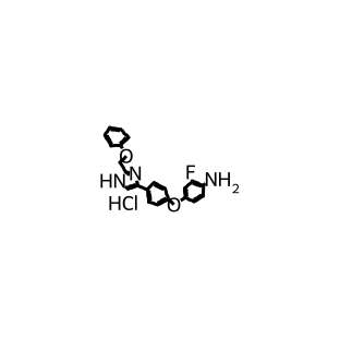 Cl.Nc1ccc(Oc2ccc(-c3c[nH]c(COc4ccccc4)n3)cc2)cc1F